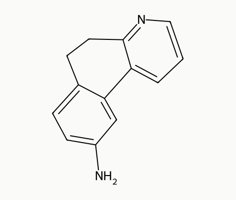 Nc1ccc2c(c1)-c1cccnc1CC2